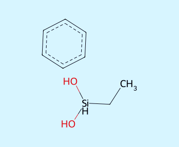 CC[SiH](O)O.c1ccccc1